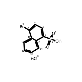 Cl.O=S(=O)(O)c1ccc(Br)c2ccccc12